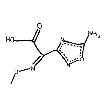 CON=C(C(=O)O)c1noc(N)n1